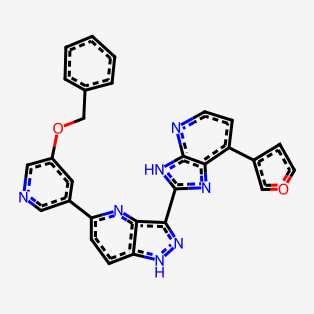 c1ccc(COc2cncc(-c3ccc4[nH]nc(-c5nc6c(-c7ccoc7)ccnc6[nH]5)c4n3)c2)cc1